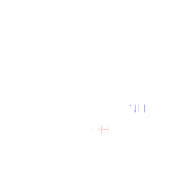 Nc1occc1C1(O)CCC1